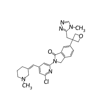 CN1CCC/C(=C/c2cc(Cl)nc(N3Cc4ccc(C5(Cc6nncn6C)COC5)cc4C3=O)c2)C1